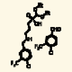 CCOC(OCC)P(=O)(O)CCCNCc1ccc(Cl)c(C(F)(F)F)c1.O=Cc1ccc(Cl)c(C(F)(F)F)c1